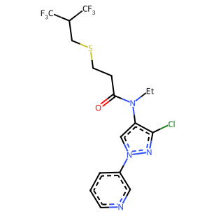 CCN(C(=O)CCSCC(C(F)(F)F)C(F)(F)F)c1cn(-c2cccnc2)nc1Cl